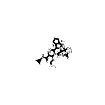 CCC[C@H](NC(=O)C1[C@H]2CCC[C@H]2CN1[C@](C=O)(NC(=O)O)C(C)(C)C)C(O)C(=O)NC1CC1